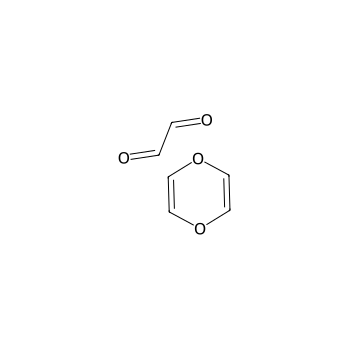 C1=COC=CO1.O=CC=O